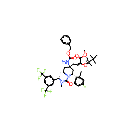 COC(=O)/C(=C\C[C@]1(NC(=O)OCc2ccccc2)CCN(C(=O)N(C)[C@@H](C)c2cc(C(F)(F)F)cc(C(F)(F)F)c2)[C@@H](c2ccc(F)cc2C)C1)O[Si](C)(C)C(C)(C)C